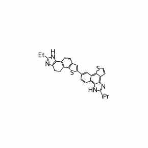 CCc1nc2c([nH]1)-c1ccc3cc(-c4ccc5c(c4)c4sccc4c4nc(C(C)C)[nH]c54)sc3c1CC2